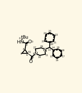 CC(C)(C)NC(=O)C1C[C@@H]1C(=O)N1CCN(C(c2ccccc2)c2ccccc2)CC1